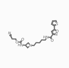 N#CCCOC(=O)NC1CN(CCCCCNC(=O)c2cc(-c3cccs3)on2)C1